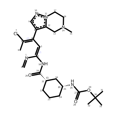 C=N/C(=C\C(=C(/C)Cl)c1cnn2c1CN(C)CC2)NC(=O)[C@H]1CCC[C@@H](NC(=O)OC(C)(C)C)C1